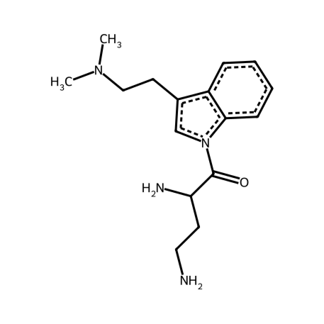 CN(C)CCc1cn(C(=O)C(N)CCN)c2ccccc12